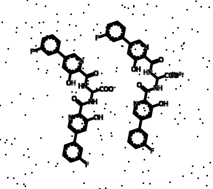 O=C(NC(NC(=O)c1ncc(-c2cccc(F)c2)cc1O)C(=O)[O-])c1ncc(-c2cccc(F)c2)cc1O.O=C(NC(NC(=O)c1ncc(-c2cccc(F)c2)cc1O)C(=O)[O-])c1ncc(-c2cccc(F)c2)cc1O.[Ca+2]